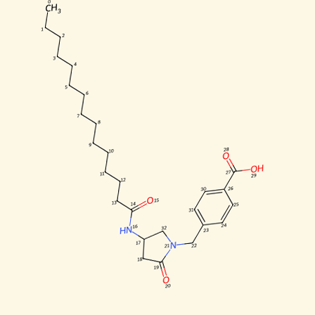 CCCCCCCCCCCCCCC(=O)NC1CC(=O)N(Cc2ccc(C(=O)O)cc2)C1